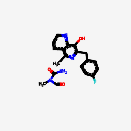 CN(C=O)C(N)=O.Cc1nc(Cc2ccc(F)cc2)c(O)c2ncccc12